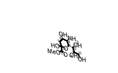 COC(=O)C1(O)C[C@H](O)[C@@H](N)[C@H](C(O)C(O)CO)O1